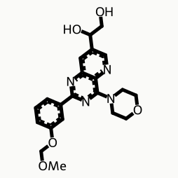 COCOc1cccc(-c2nc(N3CCOCC3)c3ncc(C(O)CO)cc3n2)c1